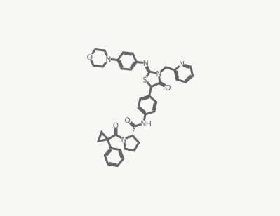 O=C(Nc1ccc(C2S/C(=N\c3ccc(N4CCOCC4)cc3)N(Cc3ccccn3)C2=O)cc1)[C@@H]1CCCN1C(=O)C1(c2ccccc2)CC1